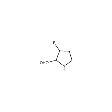 O=CC1NCCC1F